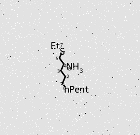 CCCCCCCCCCSCC.N